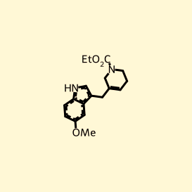 CCOC(=O)N1CCC=C(Cc2c[nH]c3ccc(OC)cc23)C1